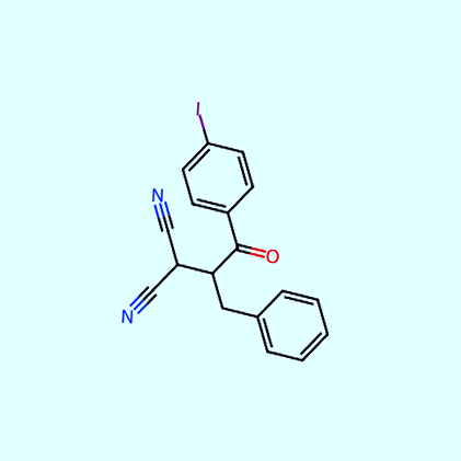 N#CC(C#N)C(Cc1ccccc1)C(=O)c1ccc(I)cc1